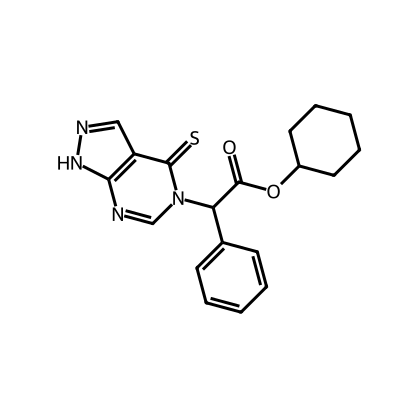 O=C(OC1CCCCC1)C(c1ccccc1)n1cnc2[nH]ncc2c1=S